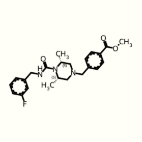 COC(=O)c1ccc(CN2C[C@@H](C)N(C(=O)NCc3cccc(F)c3)[C@@H](C)C2)cc1